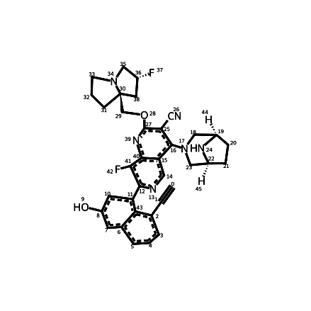 C#Cc1cccc2cc(O)cc(-c3ncc4c(N5C[C@H]6CC[C@@H](C5)N6)c(C#N)c(OC[C@@]56CCCN5C[C@H](F)C6)nc4c3F)c12